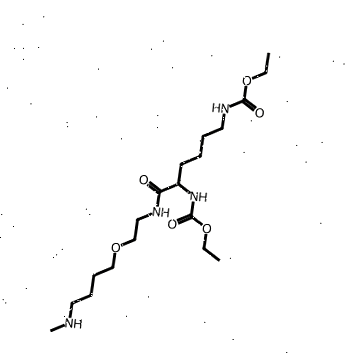 CCOC(=O)NCCCCC(NC(=O)OCC)C(=O)NCCOCCCCNC